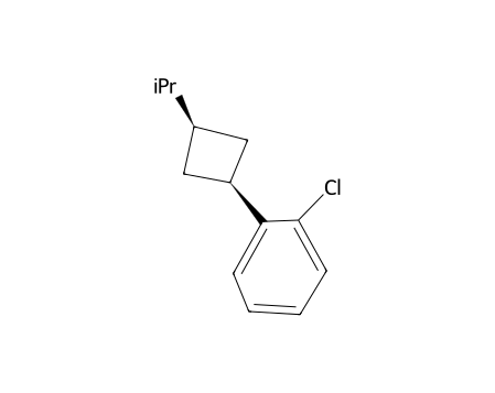 CC(C)[C@H]1C[C@@H](c2ccccc2Cl)C1